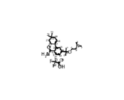 CN(C)CCOC(C)(C)c1ccc(C(N)=O)c(C2=CCC(C)(C)CC2)c1.O=C(O)C(F)(F)F